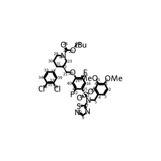 COc1ccc(CN(c2ncns2)S(=O)(=O)c2cc(F)c(OC[C@@H]3CN(C(=O)OC(C)(C)C)CC[C@H]3c3ccc(Cl)c(Cl)c3)cc2F)cc1OC